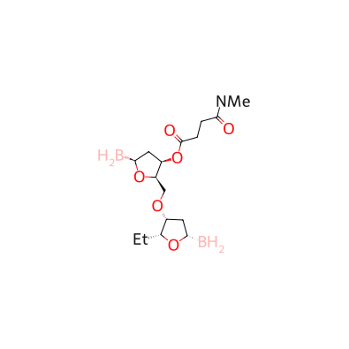 B[C@H]1C[C@@H](OC[C@H]2O[C@@H](B)C[C@H]2OC(=O)CCC(=O)NC)[C@@H](CC)O1